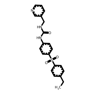 CCc1ccc(S(=O)(=O)c2ccc(NC(=O)NCc3cccnc3)cc2)cc1